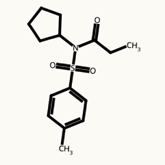 CCC(=O)N(C1CCCC1)S(=O)(=O)c1ccc(C)cc1